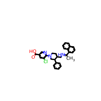 C[C@@H](NCC1CCN(c2ncc(C(=O)O)cc2Cl)CC1c1ccccc1)c1cccc2ccccc12